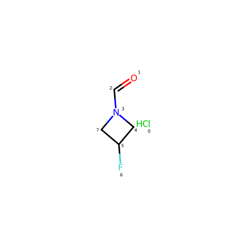 Cl.O=CN1CC(F)C1